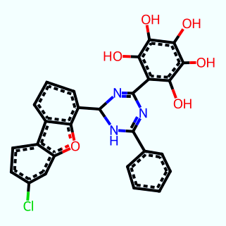 Oc1c(O)c(O)c(C2=NC(c3cccc4c3oc3cc(Cl)ccc34)NC(c3ccccc3)=N2)c(O)c1O